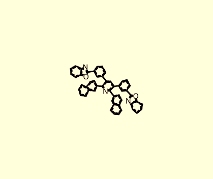 c1cc(-c2nc3ccccc3o2)cc(-c2cc(-c3cccc(-c4nc5ccccc5o4)c3)c(-c3ccc4ccccc4c3)nc2-c2ccc3ccccc3c2)c1